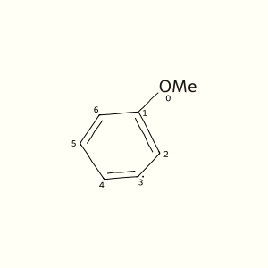 COc1c[c]ccc1